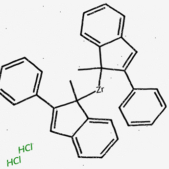 C[C]1([Zr][C]2(C)C(c3ccccc3)=Cc3ccccc32)C(c2ccccc2)=Cc2ccccc21.Cl.Cl